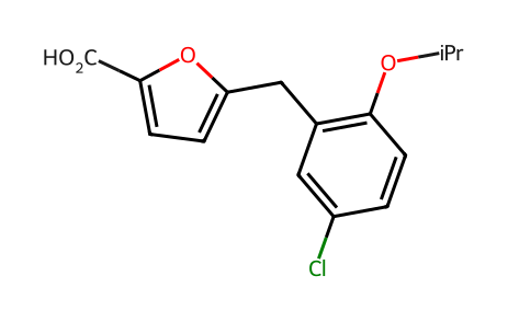 CC(C)Oc1ccc(Cl)cc1Cc1ccc(C(=O)O)o1